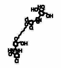 COc1cc(-c2cc(-c3cc(CO)c(CO)c(CO)c3)no2)cc(OC)c1OCCCCCCCOc1ccc(C2NC(=O)c3cc(Cl)ccc3N2)cc1CO